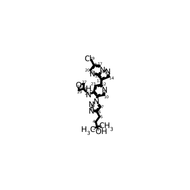 CC(C)(O)CCc1cn(-c2cnc(-c3cnn4cc(Cl)cnc34)cc2NC2COC2)nn1